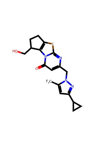 O=c1cc(Cn2nc(C3CC3)cc2C(F)(F)F)nc2sc3c(n12)C(CO)CC3